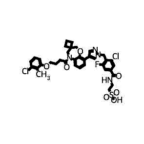 Cc1c(Cl)cccc1OCCCC(=O)N1CC2(CCC2)COc2c(-c3cnn(Cc4c(F)cc(C(=O)NCCS(=O)(=O)O)cc4Cl)c3)cccc21